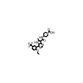 CCOc1ccc(C(F)(F)F)cc1-c1ncnc2c(C(=O)NC3CCN(C(=O)O)CC3)c(C)[nH]c12